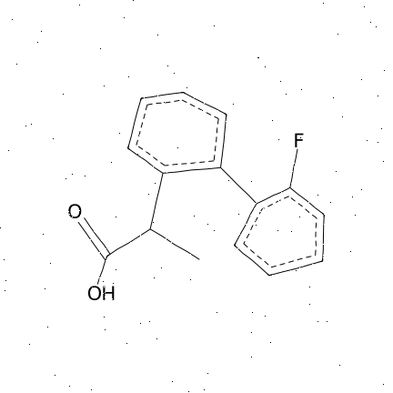 CC(C(=O)O)c1ccccc1-c1ccccc1F